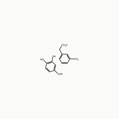 Cc1cccc(CC(=O)O)c1.O=Cc1ccc(O)c(O)c1